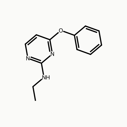 CCNc1nccc(Oc2ccccc2)n1